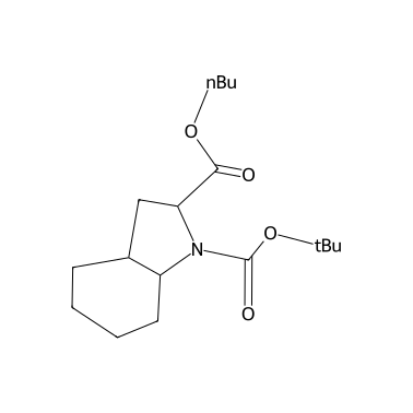 CCCCOC(=O)C1CC2CCCCC2N1C(=O)OC(C)(C)C